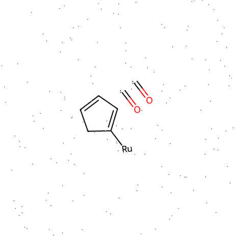 [C]=O.[C]=O.[Ru][C]1=CC=CC1